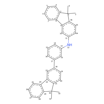 CC1(C)c2ccccc2-c2cc(Nc3cccc(-c4ccc5c(c4)-c4ccccc4C5(C)C)c3)ccc21